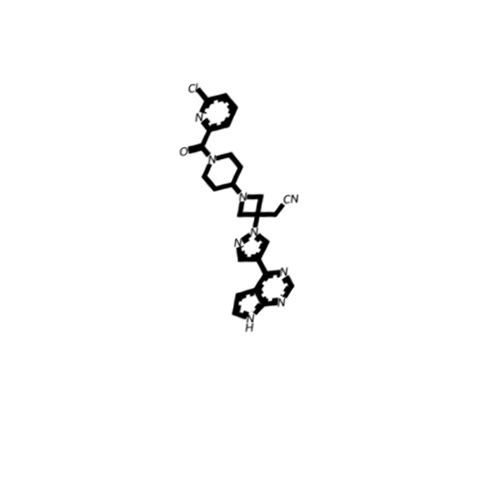 N#CCC1(n2cc(-c3ncnc4[nH]ccc34)cn2)CN(C2CCN(C(=O)c3cccc(Cl)n3)CC2)C1